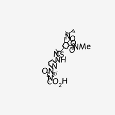 CNS(=O)(=O)c1cc(-c2sc(Nc3cccc(N4C(=O)CN(C(=O)O)C[C@H]4C)n3)nc2C)cc2c1C(=O)N([C@@H](C)C1CC1)C2